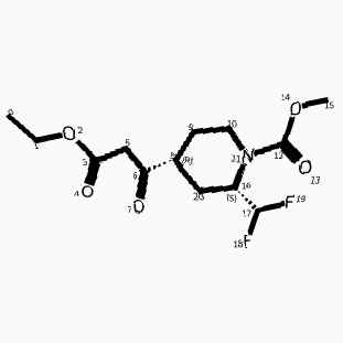 CCOC(=O)CC(=O)[C@@H]1CCN(C(=O)OC)[C@H](C(F)F)C1